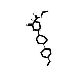 CCOC(=O)[C@@]1(C)CC[C@@H](C2CCC([C@H]3CC[C@H](CC)CC3)CC2)CC1=O